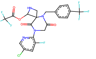 O=C1CN(c2ncc(Cl)cc2F)C(=O)C2(CNC2OC(=O)C(F)(F)F)N1Cc1ccc(C(F)(F)F)cc1